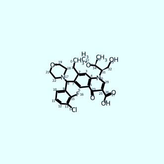 CCc1cc2c(cc1C(c1cccc(Cl)c1F)N1CCOCC1)c(=O)c(C(=O)O)cn2[C@H](CO)[C@H](C)OC